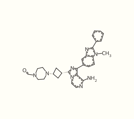 Cn1c(-c2ccccc2)nc2cc(-c3nc([C@H]4C[C@@H](N5CCN(C=O)CC5)C4)n4ccnc(N)c34)ccc21